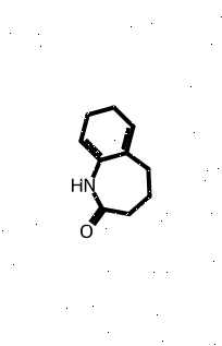 O=C1CCCC2=CCCC=C2N1